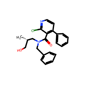 C[C@@H](CO)CN(Cc1ccccc1)C(=O)c1c(-c2ccccc2)ccnc1Cl